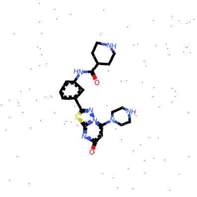 O=C(Nc1cccc(-c2nn3c(N4CCNCC4)cc(=O)nc3s2)c1)C1CCNCC1